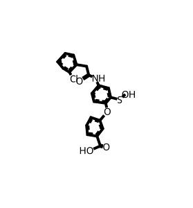 O=C(Cc1ccccc1Cl)Nc1ccc(Oc2cccc(C(=O)O)c2)c(SO)c1